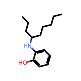 CCCCCC(CCC)Nc1ccccc1O